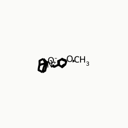 CCOc1ccc(C=[N+]([O-])C23CC4CC(CC(C4)C2)C3)cc1